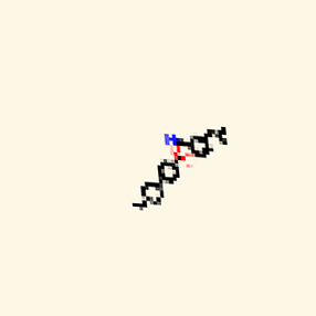 CCC1CCC(c2ccc(C(=O)Oc3ccc(CC(C)C)cc3C#N)cc2)CC1